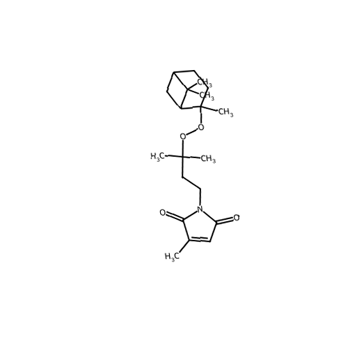 CC1=CC(=O)N(CCC(C)(C)OOC2(C)CCC3CC2C3(C)C)C1=O